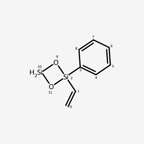 C=C[Si]1(c2ccccc2)O[SiH2]O1